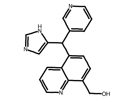 OCc1ccc(C(c2cccnc2)c2cnc[nH]2)c2cccnc12